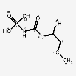 COCC(C)OC(=O)NP(=O)(O)O